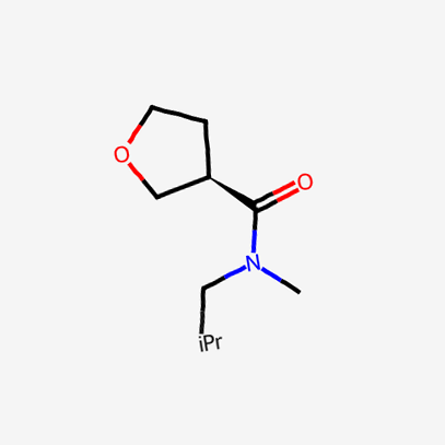 CC(C)CN(C)C(=O)[C@@H]1CCOC1